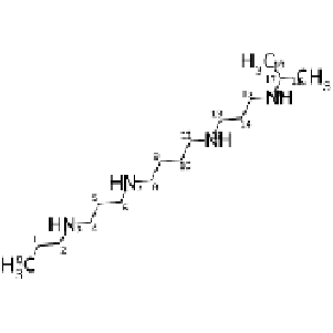 CCCNCCCNCCCCNCCCNC(C)C